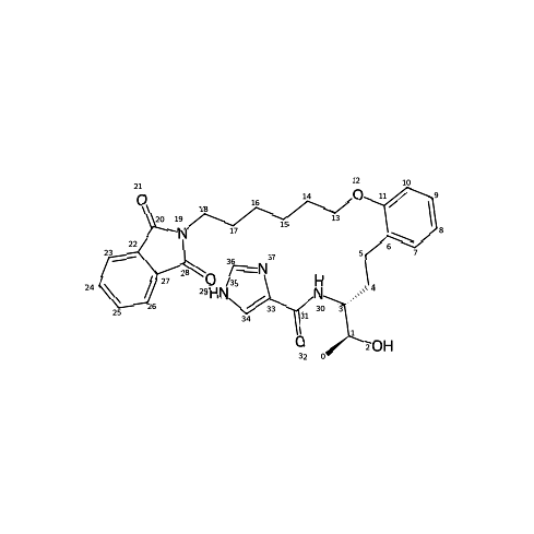 C[C@H](O)[C@@H](CCc1ccccc1OCCCCCCN1C(=O)c2ccccc2C1=O)NC(=O)c1c[nH]cn1